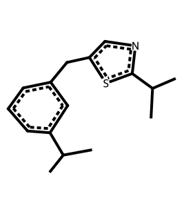 CC(C)c1cccc(Cc2cnc(C(C)C)s2)c1